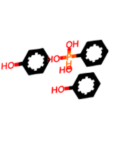 O[PH](O)(O)c1ccccc1.Oc1ccccc1.Oc1ccccc1